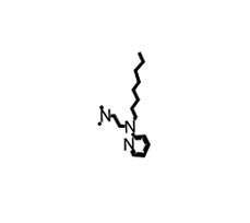 CCCCCCCCN(CCN(C)C)c1ccccn1